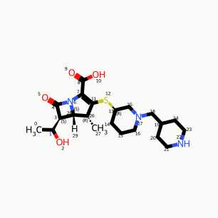 CC(O)[C@H]1C(=O)N2C(C(=O)O)=C(S[C@@H]3CCCN(CC4CCNCC4)C3)[C@H](C)[C@H]12